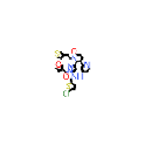 O=C(c1ccoc1)n1nc(-c2c(-c3ccccn3)ccc(=O)n2CCc2ccsc2)cc1NCc1ccc(Cl)s1